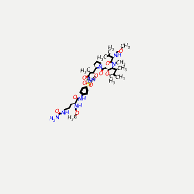 CC[C@H](C)[C@@H]([C@@H](CC(=O)N1CCC[C@H]1[C@H](OC)[C@@H](C)C(=O)NS(=O)(=O)c1ccc(NC(=O)[C@H](CCCNC(N)=O)NCOC)cc1)OC)N(C)C(=O)[C@@H](NCOC)C(C)C